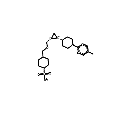 CCCS(=O)(=O)N1CCC(COC[C@@H]2C[C@@H]2C2CCN(c3ncc(C)cn3)CC2)CC1